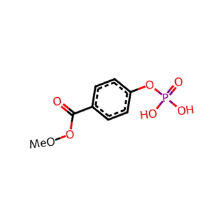 COOC(=O)c1ccc(OP(=O)(O)O)cc1